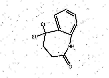 CCC1(CC)CCC(=O)Nc2ccccc21